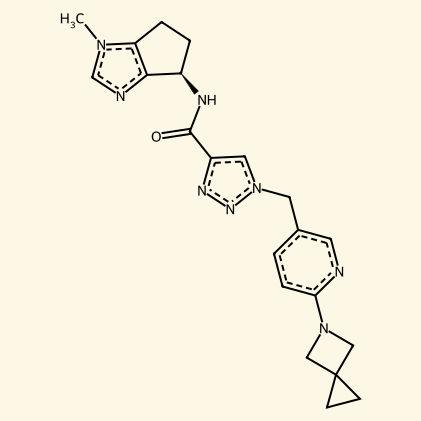 Cn1cnc2c1CC[C@H]2NC(=O)c1cn(Cc2ccc(N3CC4(CC4)C3)nc2)nn1